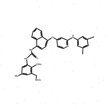 COc1c(CNC(C)=O)cc(C(C)(C)C)cc1NC(=O)Nc1ccc(Oc2ccnc(Nc3cc(C)cc(C)c3)c2)c2ccccc12